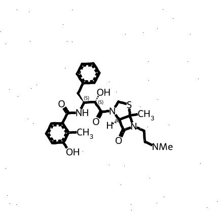 CNCCN1C(=O)[C@H]2N(C(=O)[C@@H](O)[C@H](Cc3ccccc3)NC(=O)c3cccc(O)c3C)CSC21C